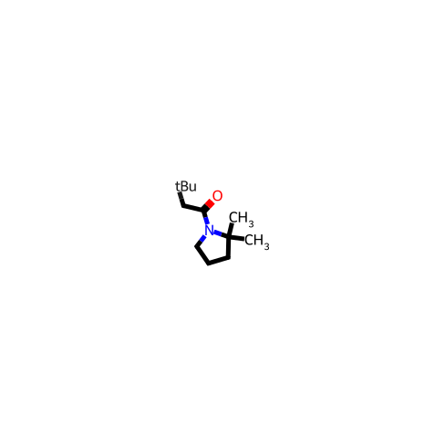 CC(C)(C)CC(=O)N1CCCC1(C)C